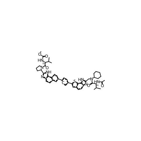 COC(=O)N[C@H](C(=O)N1CCCC1c1nc2ccc3cc(-c4ccc(-c5cc6ccc7nc(CN(C(=O)[C@@H](NC(C)=O)C(C)C)C8CCCCC8)[nH]c7c6s5)cc4)ccc3c2[nH]1)C(C)C